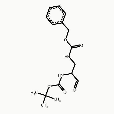 CC(C)(C)OC(=O)NC(C=O)CNC(=O)OCc1ccccc1